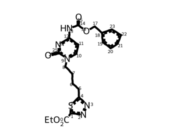 CCOC(=O)c1nnc(CCCCn2ccc(NC(=O)OCc3ccccc3)nc2=O)s1